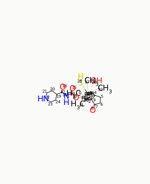 C[C@@H]1CCC23CCC(=O)C2[C@]1(C)[C@H](OC(=O)NC(=O)C1CCNCC1)C[C@@](C)(S)[C@@H](O)[C@@H]3C